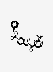 CN(C)c1nccc(C(=O)NCC2CCN(C(=O)OCc3ccccc3)CC2)n1